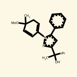 CCCC(C)(O)c1cc(-c2ccccc2)n(C2=CCC(C)(OC)C=C2)n1